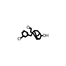 O=CCC1(Cc2cccc(Cl)c2)C2CC3CC1CC(C2)C3O